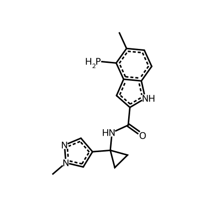 Cc1ccc2[nH]c(C(=O)NC3(c4cnn(C)c4)CC3)cc2c1P